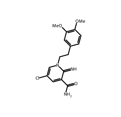 COc1ccc(CCn2cc(Cl)cc(C(N)=O)c2=N)cc1OC